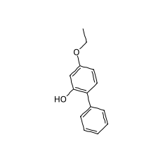 CCOc1ccc(-c2ccccc2)c(O)c1